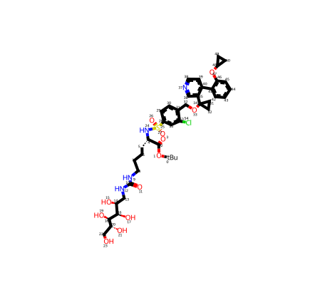 CC(C)(C)OC(=O)[C@H](CCCCNC(=O)NC[C@H](O)[C@@H](O)[C@H](O)[C@H](O)CO)NS(=O)(=O)c1ccc(COC2(c3cnccc3-c3ccccc3OC3CC3)CC2)c(Cl)c1